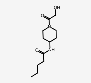 CCCCC(=O)NC1CCN(C(=O)CO)CC1